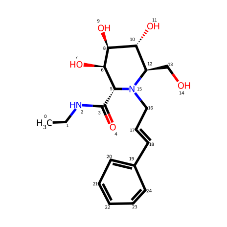 CCNC(=O)[C@@H]1[C@@H](O)[C@@H](O)[C@H](O)[C@@H](CO)N1CC=Cc1ccccc1